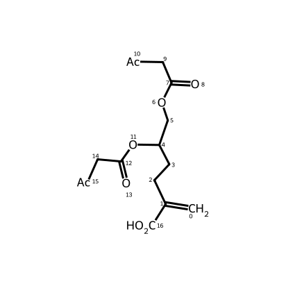 C=C(CCC(COC(=O)CC(C)=O)OC(=O)CC(C)=O)C(=O)O